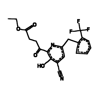 CCOC(=O)CCC(=O)c1nc(Cc2ccccc2C(F)(F)F)cc(C#N)c1O